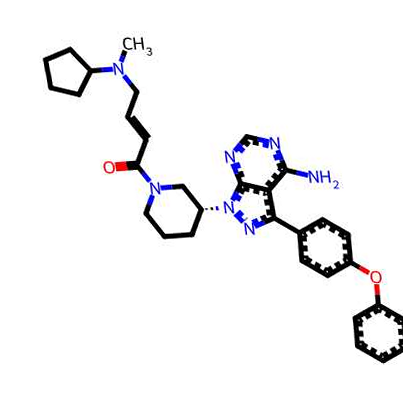 CN(C/C=C/C(=O)N1CCC[C@@H](n2nc(-c3ccc(Oc4ccccc4)cc3)c3c(N)ncnc32)C1)C1CCCC1